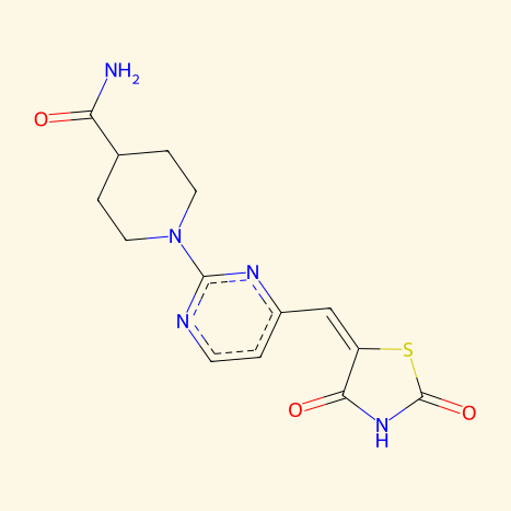 NC(=O)C1CCN(c2nccc(C=C3SC(=O)NC3=O)n2)CC1